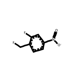 O=[N+]([O-])c1ccc(CF)c(F)c1